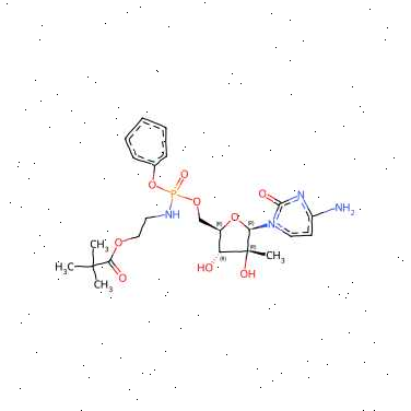 CC(C)(C)C(=O)OCCNP(=O)(OC[C@H]1O[C@@H](n2ccc(N)nc2=O)[C@](C)(O)[C@@H]1O)Oc1ccccc1